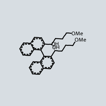 COCCC[C@@H](O)c1ccc2ccccc2c1-c1c([C@H](O)CCCOC)ccc2ccccc12